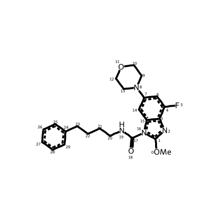 COc1nc2c(F)cc(N3CCOCC3)cc2n1C(=O)NCCCCc1ccccc1